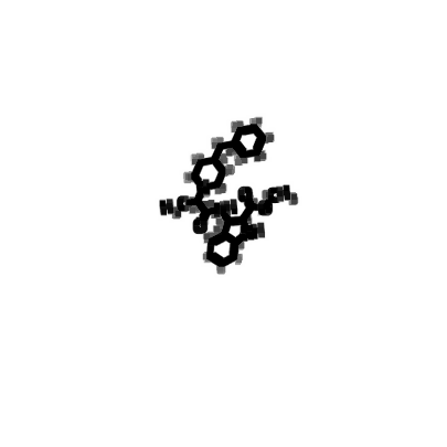 COC(=O)c1[nH]c2ccccc2c1NC(=O)C(C)N1CCC(Cc2ccccc2)CC1